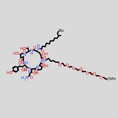 CCC(C)CC(C)CCCCCCCCC(=O)N[C@H]1C[C@@H](O)C(OCCCCCCOCCOCCOCCOCCOCCOCCOCCOC)NC(=O)C2[C@@H](O)CCN2C(=O)C([C@H](O)CC(N)=O)NC(=O)C([C@H](O)[C@@H](O)c2ccc(O)cc2)NC(=O)C2C[C@@H](O)CN2C(=O)C([C@@H](C)O)NC1=O